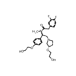 CN(C(=O)Cc1ccc(F)c(F)c1)C(CN1CC[C@H](OCCO)C1)c1ccc(OCCO)cc1